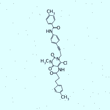 Cc1ccc(CCC(=O)Nc2c(Cl)n(CC#Cc3ccc(NC(=O)c4ccc(C)cc4)cc3)c(=O)n(C)c2=O)cc1